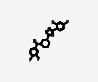 O=C(c1ccc(F)c(F)c1)N1CCCC(c2noc(-c3ccc(F)cc3F)n2)C1